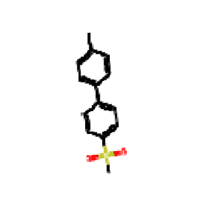 Cc1ccc(-c2[c]cc(S(C)(=O)=O)cc2)cc1